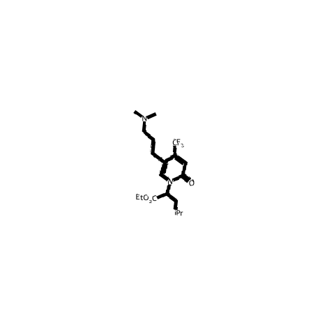 CCOC(=O)C(CC(C)C)n1cc(CCCN(C)C)c(C(F)(F)F)cc1=O